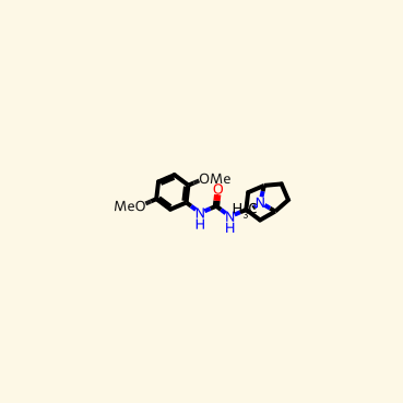 COc1ccc(OC)c(NC(=O)NC2CC3CCC(C2)N3C)c1